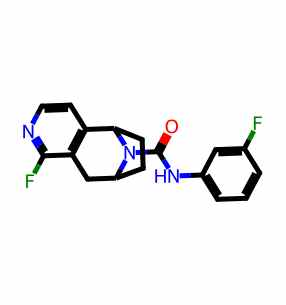 O=C(Nc1cccc(F)c1)N1C2CCC1c1ccnc(F)c1C2